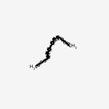 CCOCCOCCOCCc1ccc(-c2ccc(-c3ccc(C#Cc4ccc(-c5ccc(-c6ccc(CCOCCOCCOCC)s6)s5)cc4)cc3)s2)s1